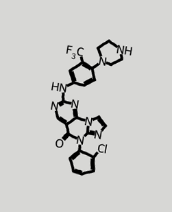 O=c1c2cnc(Nc3ccc(N4CCNCC4)c(C(F)(F)F)c3)nc2n2ccnc2n1-c1ccccc1Cl